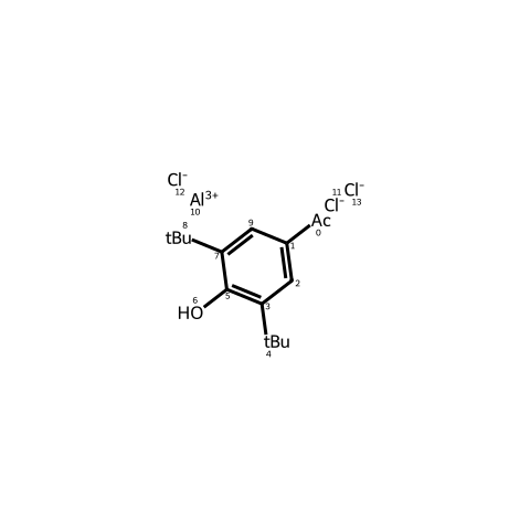 CC(=O)c1cc(C(C)(C)C)c(O)c(C(C)(C)C)c1.[Al+3].[Cl-].[Cl-].[Cl-]